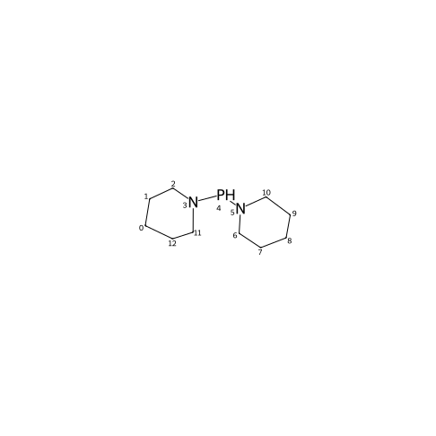 C1CCN(PN2CCCCC2)CC1